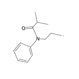 [CH2]CCN(C(=O)C(C)C)c1ccccc1